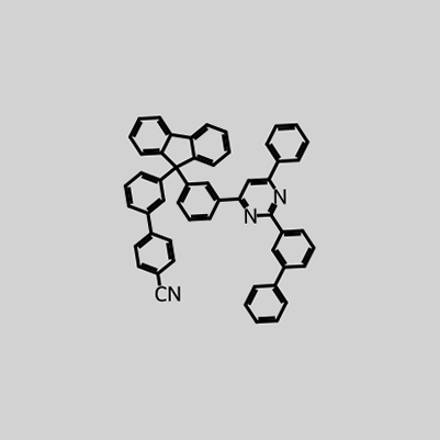 N#Cc1ccc(-c2cccc(C3(c4cccc(-c5cc(-c6ccccc6)nc(-c6cccc(-c7ccccc7)c6)n5)c4)c4ccccc4-c4ccccc43)c2)cc1